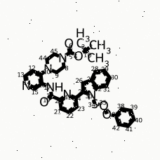 CC(C)(C)OC(=O)N1CCN(c2ccncc2NC(=O)c2cccc(-c3cc4ccccc4n3SOOc3ccccc3)n2)CC1